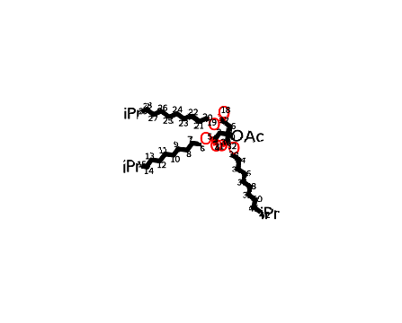 CC(=O)OC(CC(=O)OCCCCCCCCCC(C)C)(CC(=O)OCCCCCCCCCC(C)C)C(=O)OCCCCCCCCCC(C)C